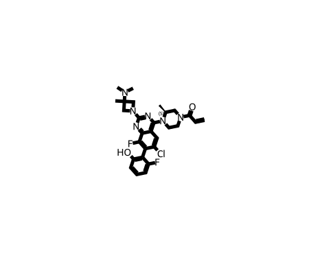 C=CC(=O)N1CCN(c2nc(N3CC(C)(N(C)C)C3)nc3c(F)c(-c4c(O)cccc4F)c(Cl)cc23)[C@@H](C)C1